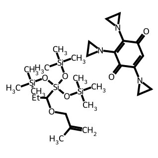 C=C(C)COC(CC)[Si](O[Si](C)(C)C)(O[Si](C)(C)C)O[Si](C)(C)C.O=C1C=C(N2CC2)C(=O)C(N2CC2)=C1N1CC1